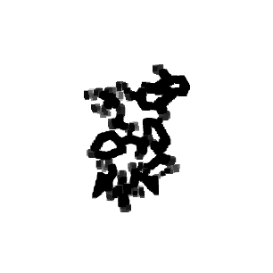 CCOc1cc(O[C@@H]2C[C@@H](C(=O)N[C@]3(C(=O)NS(=O)(=O)OC4(CC(F)(F)F)CC4)C[C@H]3CC)N(C(=O)[C@@H](NC(=O)OC(C)(C)C(F)(F)F)C3CCOCC3)C2)c2cccc(Cl)c2n1